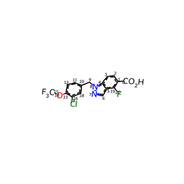 O=C(O)c1ccc2c(cnn2Cc2ccc(OC(F)(F)F)c(Cl)c2)c1F